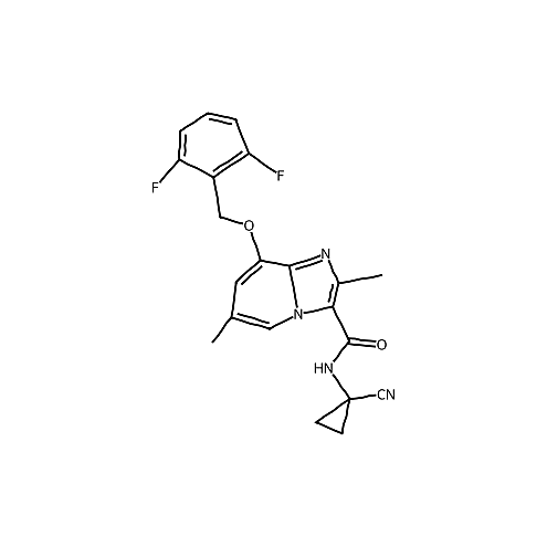 Cc1cc(OCc2c(F)cccc2F)c2nc(C)c(C(=O)NC3(C#N)CC3)n2c1